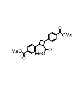 COC(=O)c1ccc(C2CC(c3ccc(C(=O)OC)cc3)C2C(=O)OC)cc1